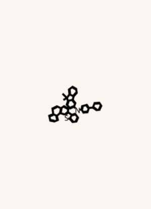 CC1(C)c2ccccc2-c2cc(N(c3ccc(-c4ccccc4)cc3)c3cccc4sc5c(ccc6ccc7ccccc7c65)c34)ccc21